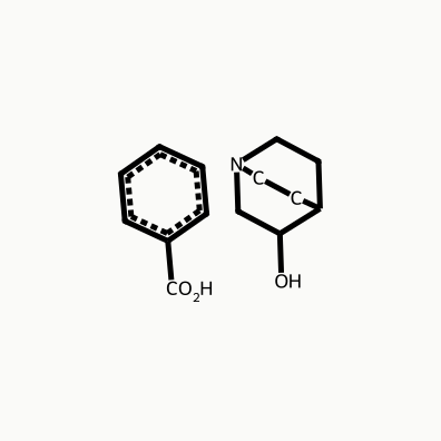 O=C(O)c1ccccc1.OC1CN2CCC1CC2